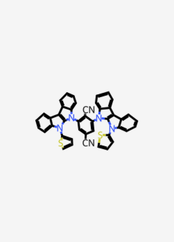 N#Cc1cc(-n2c3ccccc3c3c4ccccc4n(-c4cccs4)c32)c(C#N)c(-n2c3ccccc3c3c4ccccc4n(-c4cccs4)c32)c1